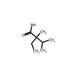 CCC(C)(C([NH])=O)C(C)C